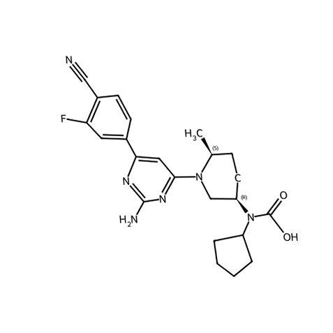 C[C@H]1CC[C@@H](N(C(=O)O)C2CCCC2)CN1c1cc(-c2ccc(C#N)c(F)c2)nc(N)n1